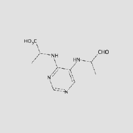 CC(C=O)Nc1cncnc1NC(C)C(=O)O